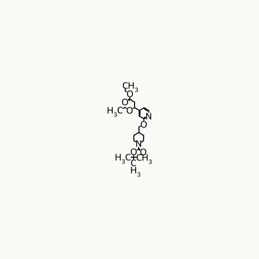 CCOC(=O)CC(OCC)c1ccnc(OCC2CCN(C(=O)OC(C)(C)C)CC2)c1